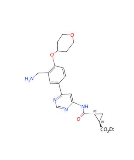 CCOC(=O)[C@@H]1C[C@H]1C(=O)Nc1cc(-c2ccc(OC3CCOCC3)c(CN)c2)ncn1